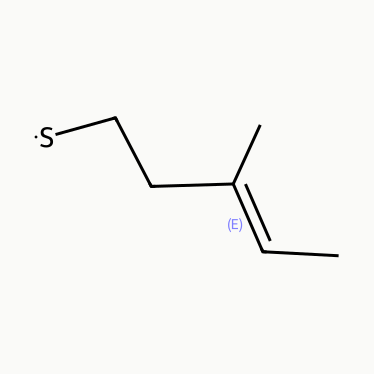 C/C=C(\C)CC[S]